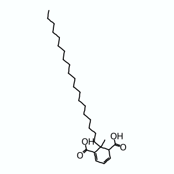 CCCCCCCCCCCCCCCCCCCCC1(C)C(C(=O)O)=CC=CC1C(=O)O